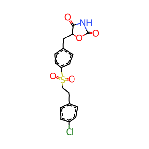 O=C1NC(=O)C(Cc2ccc(S(=O)(=O)CCc3ccc(Cl)cc3)cc2)O1